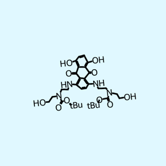 CC(C)(C)OC(=O)N(CCO)CCNc1ccc(NCCN(CCO)C(=O)OC(C)(C)C)c2c1C(=O)c1c(O)ccc(O)c1C2=O